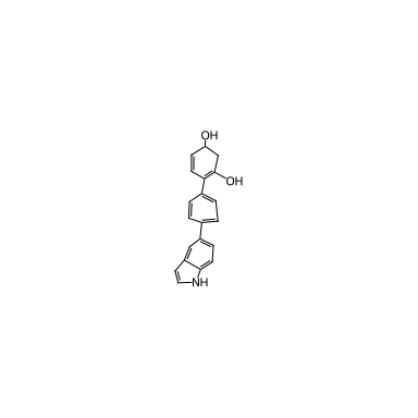 OC1=C(c2ccc(-c3ccc4[nH]ccc4c3)cc2)C=CC(O)C1